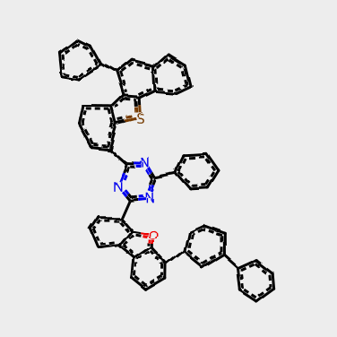 c1ccc(-c2cccc(-c3cccc4c3oc3c(-c5nc(-c6ccccc6)nc(-c6cccc7c6sc6c8ccccc8cc(-c8ccccc8)c76)n5)cccc34)c2)cc1